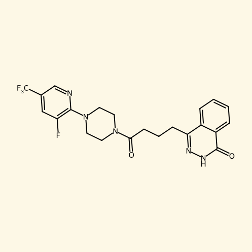 O=C(CCCc1n[nH]c(=O)c2ccccc12)N1CCN(c2ncc(C(F)(F)F)cc2F)CC1